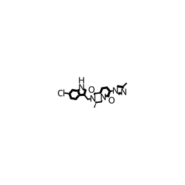 Cc1cn(-c2ccc3n(c2=O)C[C@@H](C)N(Cc2c[nH]c4cc(Cl)ccc24)C3=O)cn1